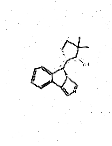 CC1(C)CC[C@@H]([C@@H]2c3ccccc3-c3cncn32)[C@H]1O